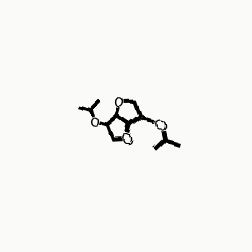 CC(C)OC1COC2C(OC(C)C)COC12